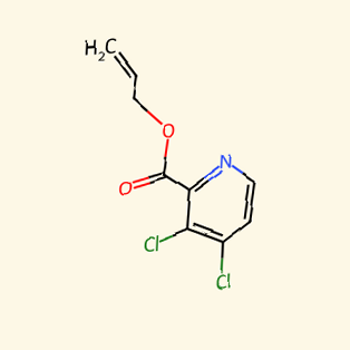 C=CCOC(=O)c1nccc(Cl)c1Cl